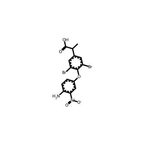 CC(C(=O)O)c1cc(Br)c(Oc2ccc(N)c([N+](=O)[O-])c2)c(Br)c1